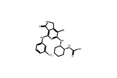 Cc1cccc(Nc2nc(N[C@@H]3CCCC[C@@H]3NC(=O)O)c(Br)c3c2C(=O)NC3)c1